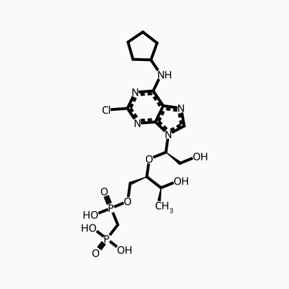 C[C@H](O)[C@@H](COP(=O)(O)CP(=O)(O)O)O[C@H](CO)n1cnc2c(NC3CCCC3)nc(Cl)nc21